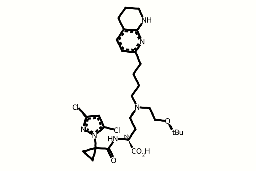 CC(C)(C)OCCN(CCCCc1ccc2c(n1)NCCC2)CC[C@H](NC(=O)C1(n2nc(Cl)cc2Cl)CC1)C(=O)O